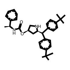 C[C@H](NC(=O)O[C@H]1CN[C@@H](C(c2ccc(C(C)(C)C)cc2)c2ccc(C(C)(C)C)cc2)C1)c1ccccc1